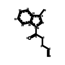 C=CCCC(=O)n1cc(C)c2ccccc21